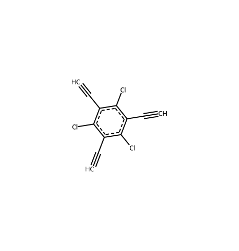 C#Cc1c(Cl)c(C#C)c(Cl)c(C#C)c1Cl